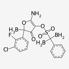 BC1(c2cccc(Cl)c2F)OC(N)=C(OS(=O)(=O)C(B)(B)c2ccccc2)C1=O